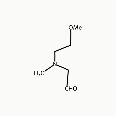 COCCN(C)CC=O